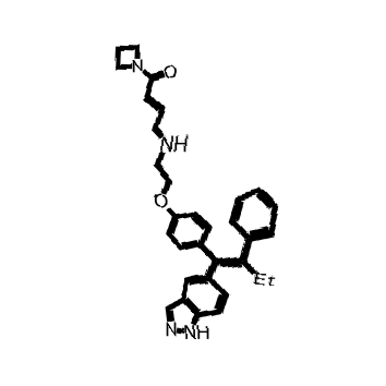 CC/C(=C(/c1ccc(OCCNCC=CC(=O)N2CCC2)cc1)c1ccc2[nH]ncc2c1)c1ccccc1